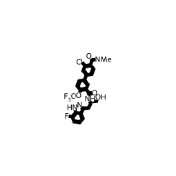 CNC(=O)c1ccc(-c2ccc(OC(F)(F)F)c(C(=O)N[C@@H](CO)Cc3n[nH]c4c(F)cccc34)c2)cc1Cl